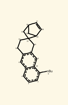 CCCCc1cccc2cc3c(cc12)CC1(CC3)CC2C=CC1C2